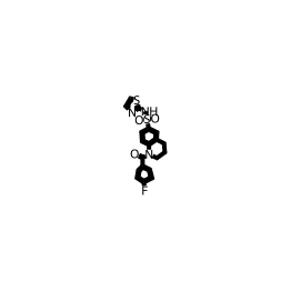 O=C(c1ccc(F)cc1)N1CCCc2cc(S(=O)(=O)Nc3nccs3)ccc21